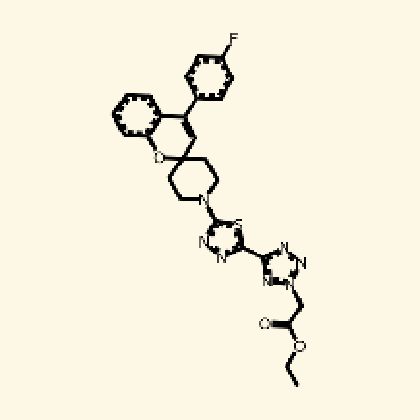 CCOC(=O)Cn1nnc(-c2nnc(N3CCC4(C=C(c5ccc(F)cc5)c5ccccc5O4)CC3)s2)n1